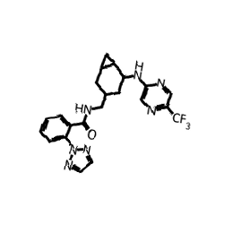 O=C(NCC1CC2CC2C(Nc2cnc(C(F)(F)F)cn2)C1)c1ccccc1-n1nccn1